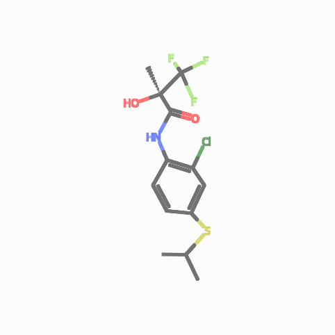 CC(C)Sc1ccc(NC(=O)[C@@](C)(O)C(F)(F)F)c(Cl)c1